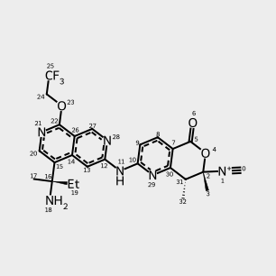 C#[N+][C@@]1(C)OC(=O)c2ccc(Nc3cc4c([C@@](C)(N)CC)cnc(OCC(F)(F)F)c4cn3)nc2[C@H]1C